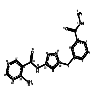 CCCNC(=O)c1cccc(Cn2cc(NC(=O)c3cncnc3N)cn2)c1